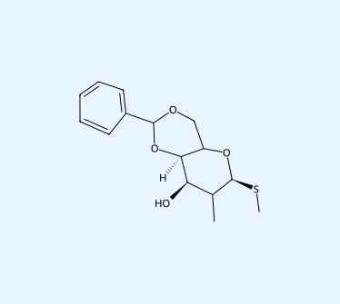 CS[C@@H]1OC2COC(c3ccccc3)O[C@@H]2[C@H](O)C1C